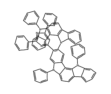 c1ccc(-c2cc(-c3cc4c(cc3-n3c5ccccc5c5ccc6c(c7ccccc7n6-c6ccccc6)c53)c3c(ccc5c6ccccc6n(-c6ccccc6)c53)n4-c3ccccc3)nc(-c3ccccc3)n2)cc1